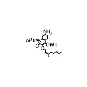 CCCCCCn1c(=O)c(OCC=C(C)CCC=C(C)C)c(OC)c2ccc(N)cc21